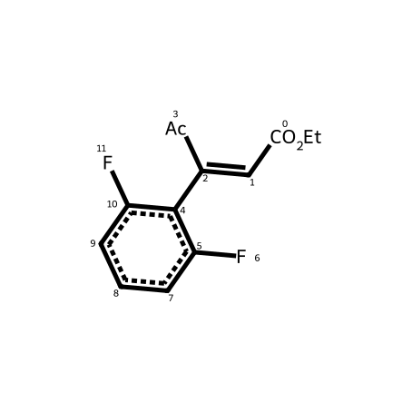 CCOC(=O)/C=C(\C(C)=O)c1c(F)cccc1F